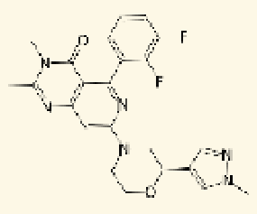 Cc1nc2cc(N3CCO[C@H](c4cnn(C)c4)C3)nc(-c3cccc(F)c3F)c2c(=O)n1C